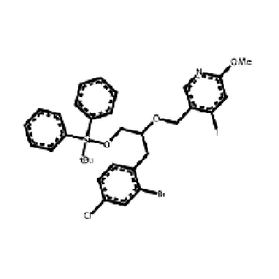 COc1cc(I)c(COC(CO[Si](c2ccccc2)(c2ccccc2)C(C)(C)C)Cc2ccc(Cl)cc2Br)cn1